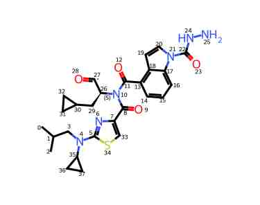 CC(C)CN(c1nc(C(=O)N(C(=O)c2cccc3c2ccn3C(=O)NN)[C@H]([C]=O)CC2CC2)cs1)C1CC1